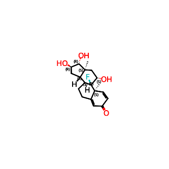 C[C@]12C[C@H](O)[C@@]3(F)[C@@H](CCC4=CC(=O)C=C[C@@]43C)[C@@H]1C[C@@H](O)[C@@H]2O